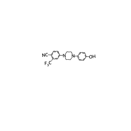 N#Cc1ccc(N2CCN(c3ccc(O)cc3)CC2)cc1C(F)(F)F